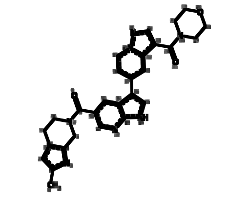 Cc1cn2c(n1)CN(C(=O)c1cnc3[nH]cc(-c4ccn5ncc(C(=O)N6CCOCC6)c5c4)c3c1)CC2